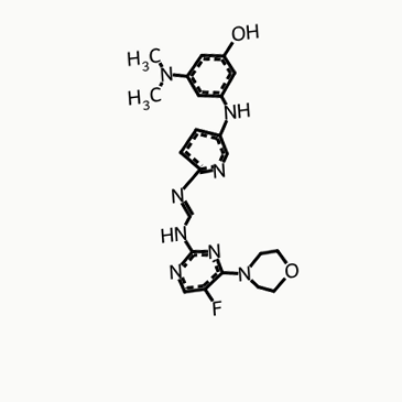 CN(C)c1cc(O)cc(Nc2ccc(/N=C/Nc3ncc(F)c(N4CCOCC4)n3)nc2)c1